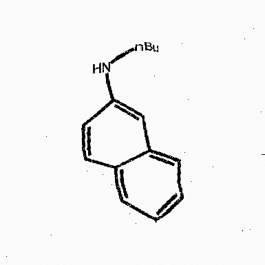 CCCCNc1ccc2c[c]ccc2c1